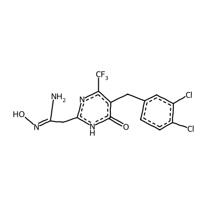 N/C(Cc1nc(C(F)(F)F)c(Cc2ccc(Cl)c(Cl)c2)c(=O)[nH]1)=N\O